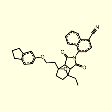 CCC12CCC(CCOc3ccc4c(c3)CCC4)(O1)C1C(=O)N(c3ccc(C#N)c4ccccc34)C(=O)C12